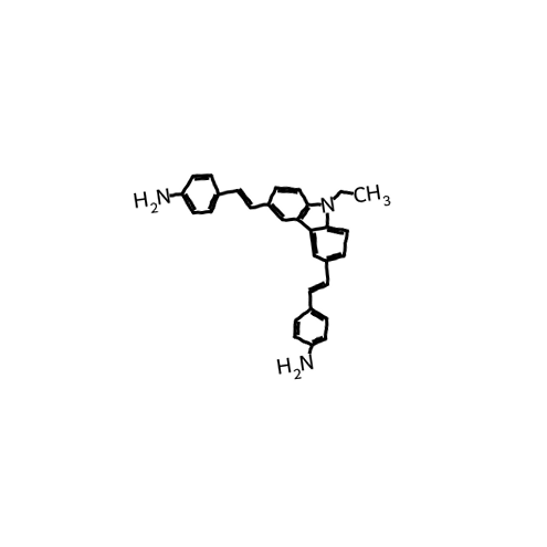 CCn1c2ccc(C=Cc3ccc(N)cc3)cc2c2cc(C=Cc3ccc(N)cc3)ccc21